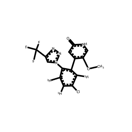 [2H]c1c([2H])c(-n2cc(C(F)(F)F)nn2)c(-c2cc(=O)[nH]cc2OC)c([2H])c1Cl